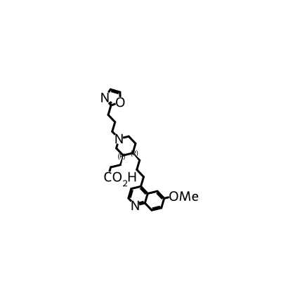 COc1ccc2nccc(CCC[C@@H]3CCN(CCCc4ncco4)C[C@@H]3CCC(=O)O)c2c1